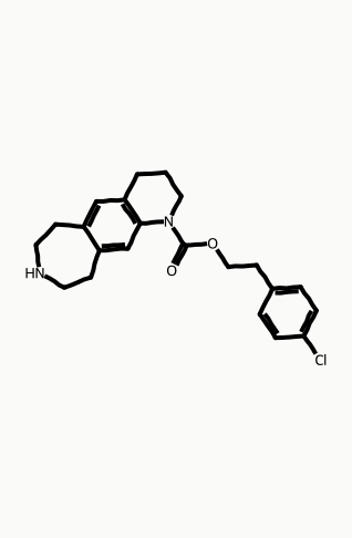 O=C(OCCc1ccc(Cl)cc1)N1CCCc2cc3c(cc21)CCNCC3